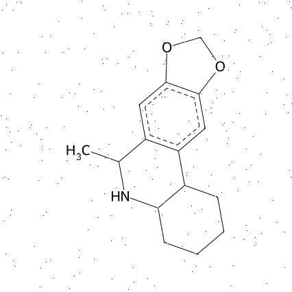 CC1NC2CCCCC2c2cc3c(cc21)OCO3